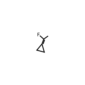 CC(F)=C1CC1